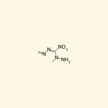 C=N/N=C(\N(C)N)[N+](=O)[O-]